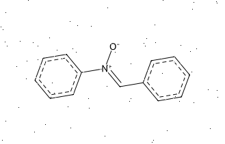 [O-][N+](=Cc1ccccc1)c1ccccc1